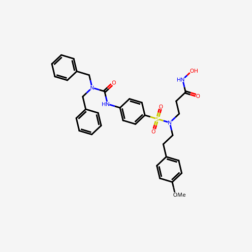 COc1ccc(CCN(CCC(=O)NO)S(=O)(=O)c2ccc(NC(=O)N(Cc3ccccc3)Cc3ccccc3)cc2)cc1